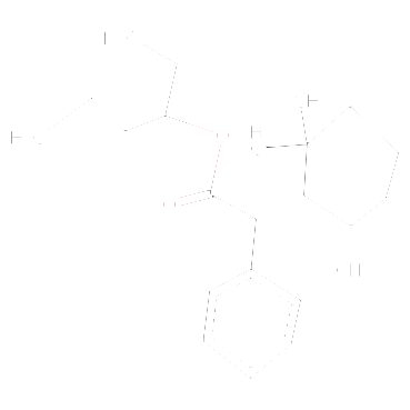 CCCC(CC)OC(=O)C(c1ccccc1)[C@H]1[C@@H](C)CCCC1(C)C